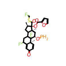 C[C@@H]1CC2C3C[C@H](F)C4=CC(=O)C=C[C@]4(C)[C@@]3(F)[C@@H](OP)C[C@]2(C)[C@@]1(OC(=O)c1ccco1)C(=O)SCF